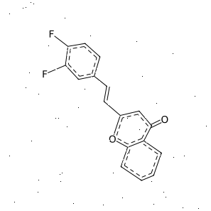 O=c1cc(/C=C/c2ccc(F)c(F)c2)oc2ccccc12